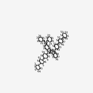 c1ccc(-c2ccc(-c3ccc(-n4c5ccc(N(c6ccccc6)c6ccccc6)cc5c5c4c4ccccc4n5-c4ccc(-c5ccc(-c6ccccc6)cc5)cc4)cc3)cc2)cc1